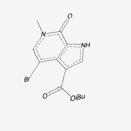 CC(C)COC(=O)c1c[nH]c2c(=O)n(C)cc(Br)c12